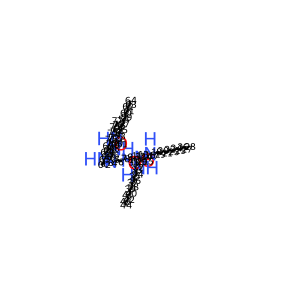 C=C(CN(CCCCNCCCN(CC(=O)NCCCCCCCCCCCC)CC(=O)NCCCCCCCCCCCC)CCCNCC(=O)NCCCCCCCCCCCC)NCCCCCCCCCCCC